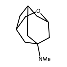 CNC12CC3COC(CC(C3)C1)C2